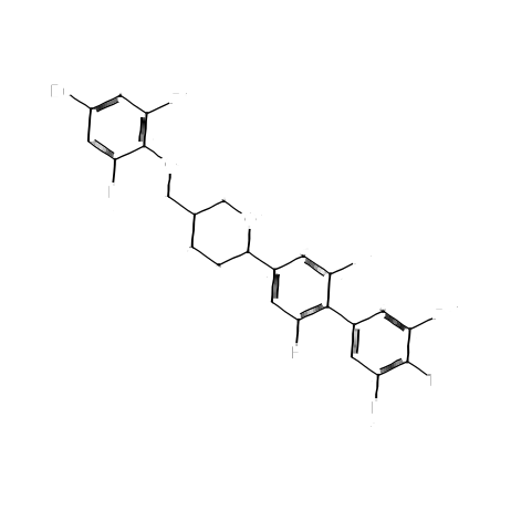 CCc1cc(F)c(OCC2CCC(c3cc(F)c(-c4cc(F)c(F)c(F)c4)c(F)c3)OC2)c(F)c1